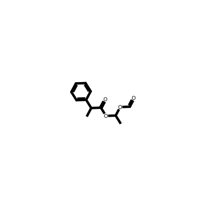 CC(OC=O)OC(=O)C(C)c1ccccc1